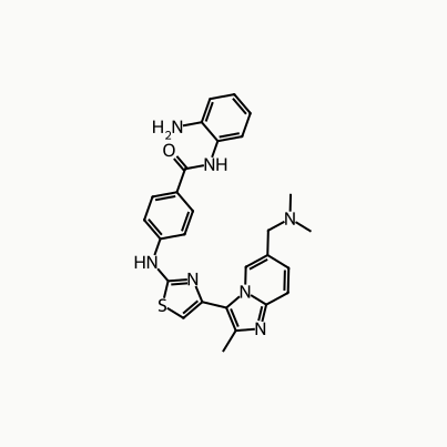 Cc1nc2ccc(CN(C)C)cn2c1-c1csc(Nc2ccc(C(=O)Nc3ccccc3N)cc2)n1